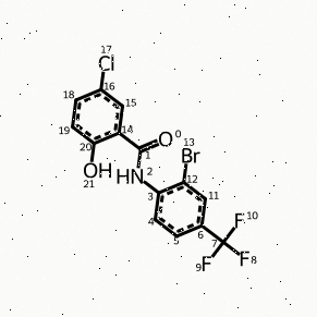 O=C(Nc1ccc(C(F)(F)F)cc1Br)c1cc(Cl)ccc1O